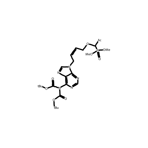 COP(=O)(OC)C(OC/C=C\Cn1cnc2c(N(C(=O)OC(C)(C)C)C(=O)OC(C)(C)C)ncnc21)C(C)=O